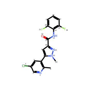 Cc1ncc(Cl)cc1-c1cc(C(=O)Nc2c(F)cccc2F)nn1C